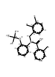 Cc1cnccc1C(=O)N(Cc1cccc(C)c1C)c1ccccc1OC(F)(F)F